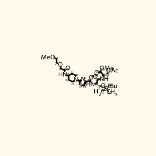 COCCOCC(=O)NC1CCN(c2nc(C(=O)N[C@@H](CO[Si](C)(C)C(C)(C)C)C(=O)N[C@@H](COC(C)=O)C(=O)OC)cs2)CC1